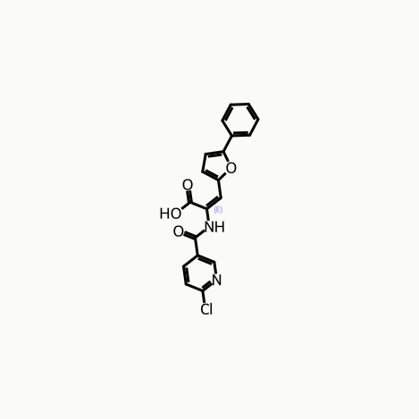 O=C(O)/C(=C\c1ccc(-c2ccccc2)o1)NC(=O)c1ccc(Cl)nc1